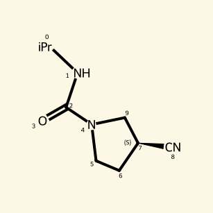 CC(C)NC(=O)N1CC[C@H](C#N)C1